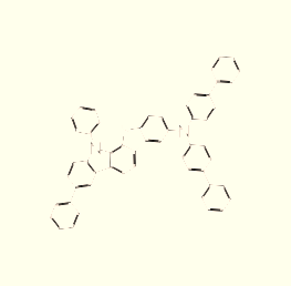 c1ccc(-c2ccc(N(c3ccc(-c4ccccc4)cc3)c3ccc4sc5c(ccc6c7cc(-c8ccccc8)ccc7n(-c7ccccc7)c65)c4c3)cc2)cc1